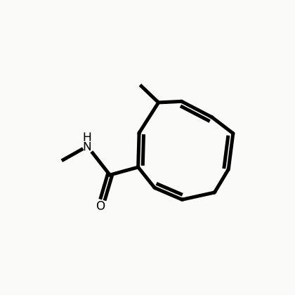 CNC(=O)C1=C/C(C)/C=C\C=C/C/C=C\1